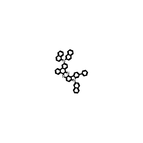 c1ccc(-c2ccc3c4c5nc6c7ccc(N(c8ccc9ccccc9c8)c8cccc9ccccc89)cc7c7ccccc7c6nc5ccc4n(-c4ccc5ccccc5c4)c3c2)cc1